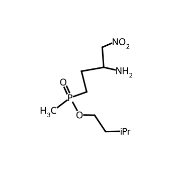 CC(C)CCOP(C)(=O)CCC(N)C[N+](=O)[O-]